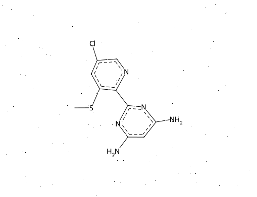 CSc1cc(Cl)cnc1-c1nc(N)cc(N)n1